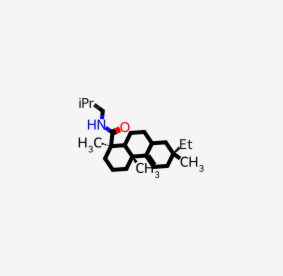 CC[C@@]1(C)CC=C2C(CCC3[C@](C)(C(=O)NCC(C)C)CCC[C@@]23C)C1